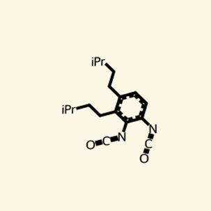 CC(C)CCc1ccc(N=C=O)c(N=C=O)c1CCC(C)C